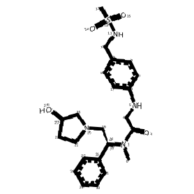 CN(C(=O)CNc1ccc(CNS(C)(=O)=O)cc1)[C@H](CN1CCC(O)C1)c1ccccc1